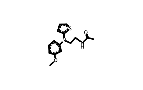 COc1cccc(N(CCNC(C)=O)c2cccs2)c1